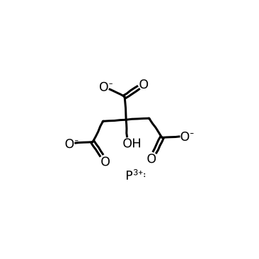 O=C([O-])CC(O)(CC(=O)[O-])C(=O)[O-].[P+3]